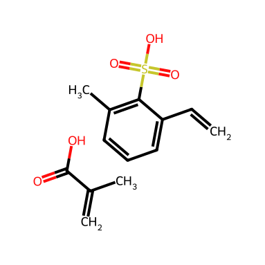 C=C(C)C(=O)O.C=Cc1cccc(C)c1S(=O)(=O)O